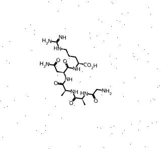 C[C@H](NC(=O)CN)C(=O)N[C@@H](C)C(=O)N[C@@H](CC(N)=O)C(=O)N[C@@H](CCCNC(=N)N)C(=O)O